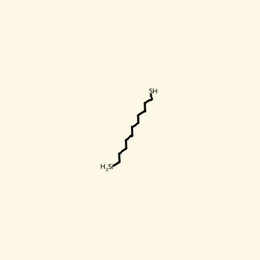 [SiH3]CCCCCCCCCCCS